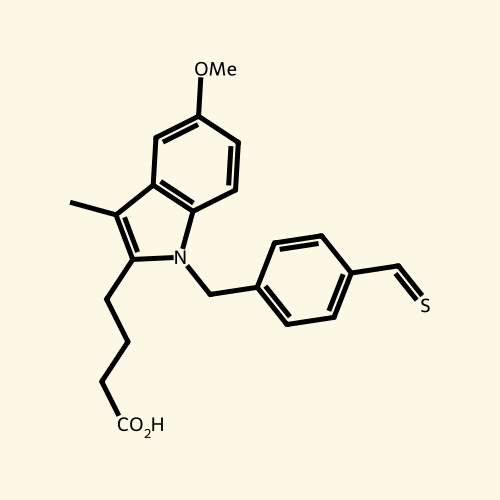 COc1ccc2c(c1)c(C)c(CCCC(=O)O)n2Cc1ccc(C=S)cc1